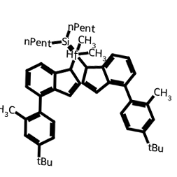 CCCCC[Si](CCCCC)=[Hf]([CH3])([CH3])([CH]1C=Cc2c(-c3ccc(C(C)(C)C)cc3C)cccc21)[CH]1C=Cc2c(-c3ccc(C(C)(C)C)cc3C)cccc21